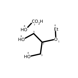 CCOC(CO)CO.O=C(O)O